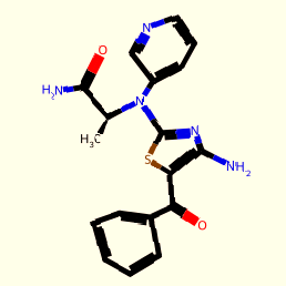 C[C@@H](C(N)=O)N(c1cccnc1)c1nc(N)c(C(=O)c2ccccc2)s1